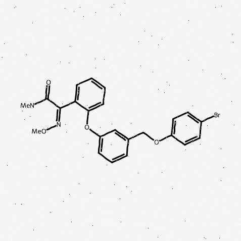 CNC(=O)C(=NOC)c1ccccc1Oc1cccc(COc2ccc(Br)cc2)c1